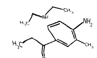 CCC(=O)c1ccc(N)c(C)c1.CCNCC